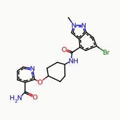 Cn1cc2c(C(=O)NC3CCC(Oc4ncccc4C(N)=O)CC3)cc(Br)cc2n1